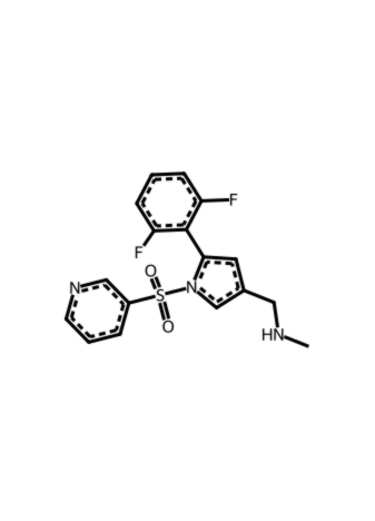 CNCc1cc(-c2c(F)cccc2F)n(S(=O)(=O)c2cccnc2)c1